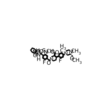 COC[C@H]1CN(c2cc(F)c3c4c(c(=O)oc3c2C)CN(C(=O)c2cc(N(C)C)c(C(=O)NS(=O)(=O)N3C5CCC3CC5)cc2F)CC4)CCN1C